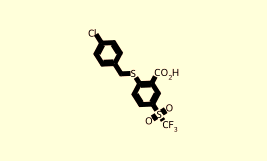 O=C(O)c1cc(S(=O)(=O)C(F)(F)F)ccc1SCc1ccc(Cl)cc1